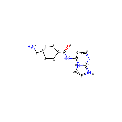 NCC1CCC(C(=O)Nc2ccnc3nccn23)CC1